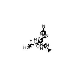 CC(C)(O)C(F)CNC(=O)c1cnc(-c2cnc3cc(C#N)cnn23)cc1Nc1cnn(C2CC2)c1